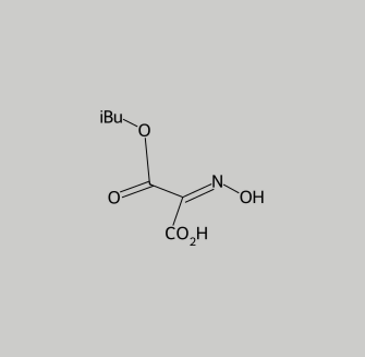 CCC(C)OC(=O)C(=NO)C(=O)O